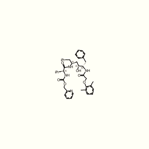 Cc1cccc(C)c1OCC(=O)N[C@@H](Cc1ccccc1)[C@@H](O)C[C@H](CC(C)C)NC(=O)[C@@H](NC(=O)OCc1ccccn1)C(C)C